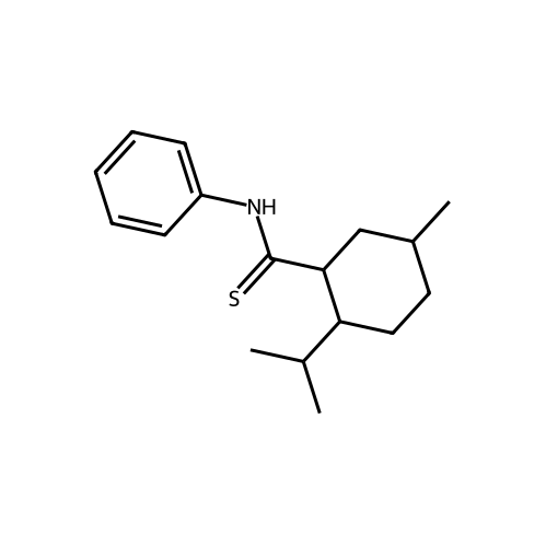 CC1CCC(C(C)C)C(C(=S)Nc2ccccc2)C1